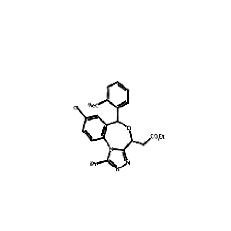 CCOC(=O)CC1OC(c2ccccc2OC)c2cc(Cl)ccc2-n2c(C(C)C)nnc21